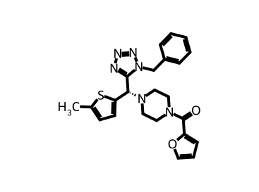 Cc1ccc([C@H](c2nnnn2Cc2ccccc2)N2CCN(C(=O)c3ccco3)CC2)s1